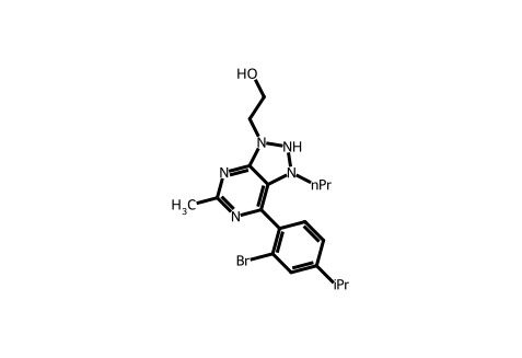 CCCN1NN(CCO)c2nc(C)nc(-c3ccc(C(C)C)cc3Br)c21